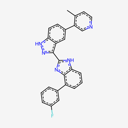 Cc1ccncc1-c1ccc2[nH]nc(-c3nc4c(-c5cccc(F)c5)cccc4[nH]3)c2c1